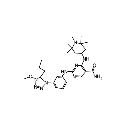 CCCC1N(OC)N=NN1c1cccc(Nc2ncc(C(N)=O)c(NC3CC(C)(C)N(C)C(C)(C)C3)n2)c1